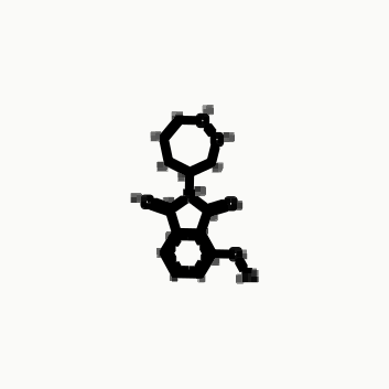 CCOc1cccc2c1C(=O)N(C1CCCOOC1)C2=O